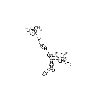 CC(C)(C)OC(=O)CCOCCCN1CCN(CCCOc2nc(N3CCN(C(=O)OCc4ccccc4)CC3)c3cc(Cl)c(-c4ccc(F)c5sc(N)nc45)c(F)c3n2)CC1